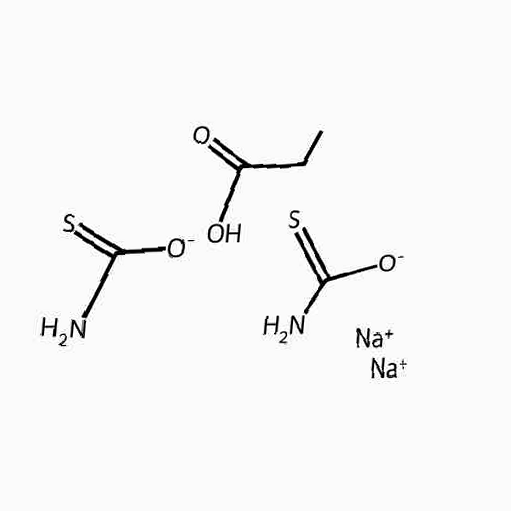 CCC(=O)O.NC([O-])=S.NC([O-])=S.[Na+].[Na+]